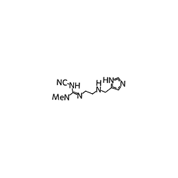 CNC(=NCCNCc1cnc[nH]1)NC#N